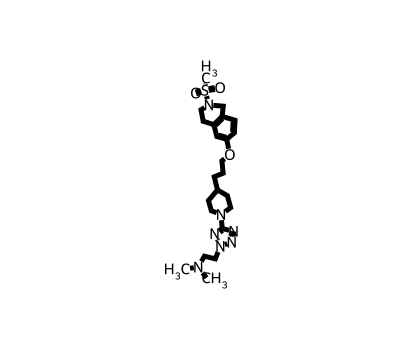 CN(C)CCn1nnc(N2CCC(CCCOc3ccc4c(c3)CCN(S(C)(=O)=O)C4)CC2)n1